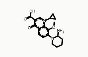 COc1c(N2CCCCC2N)ccc2c(=O)c(C(=O)O)cn(C3CC3)c12